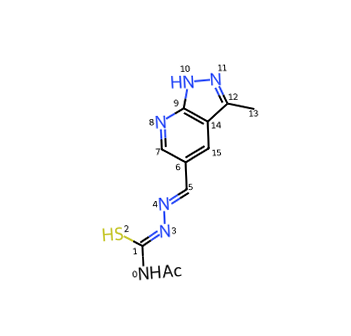 CC(=O)N/C(S)=N/N=C/c1cnc2[nH]nc(C)c2c1